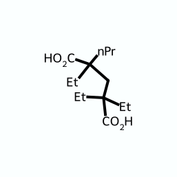 CCCC(CC)(CC(CC)(CC)C(=O)O)C(=O)O